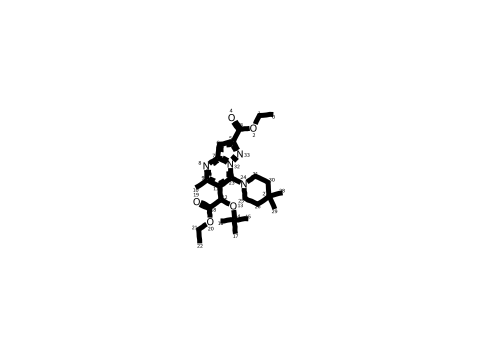 CCOC(=O)c1cc2nc(C)c(C(OC(C)(C)C)C(=O)OCC)c(N3CCC(C)(C)CC3)n2n1